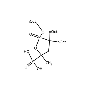 CCCCCCCCOP1(=O)OC(C)(P(=O)(O)O)CC1(CCCCCCCC)CCCCCCCC